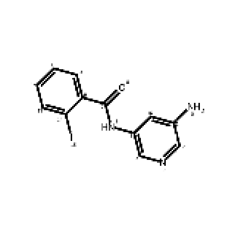 Nc1cncc(NC(=O)c2ccccc2I)c1